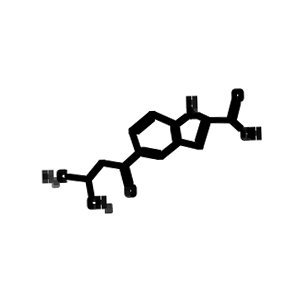 CC(C)CC(=O)c1ccc2[nH]c(C(=O)O)cc2c1